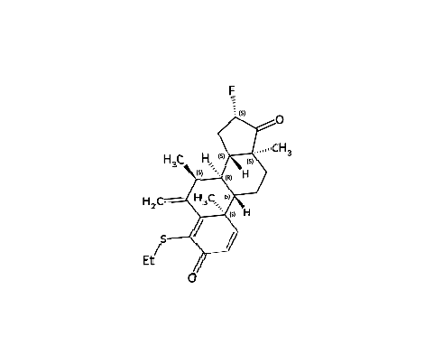 C=C1C2=C(SCC)C(=O)C=C[C@]2(C)[C@H]2CC[C@]3(C)C(=O)[C@@H](F)C[C@H]3[C@@H]2[C@@H]1C